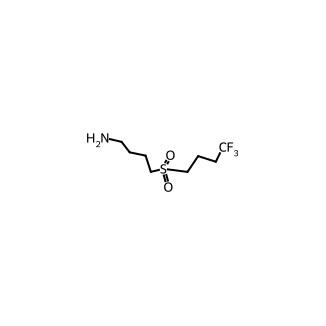 NCCCCS(=O)(=O)CCCC(F)(F)F